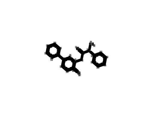 CN(C(=O)Cn1nc(-c2ccccn2)ccc1=O)c1ccccc1